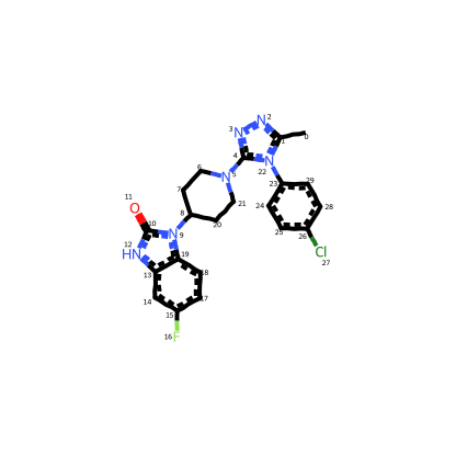 Cc1nnc(N2CCC(n3c(=O)[nH]c4cc(F)ccc43)CC2)n1-c1ccc(Cl)cc1